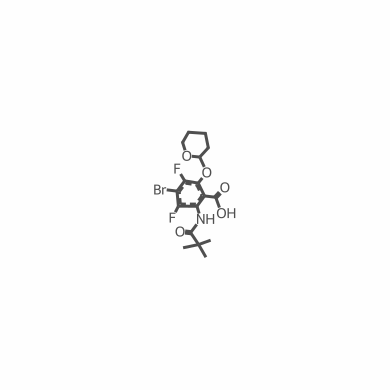 CC(C)(C)C(=O)Nc1c(F)c(Br)c(F)c(OC2CCCCO2)c1C(=O)O